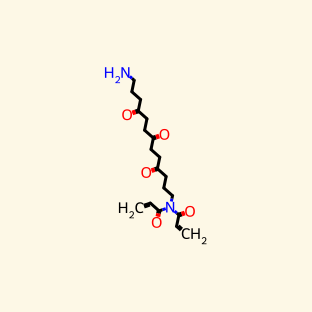 C=CC(=O)N(CCCC(=O)CCC(=O)CCC(=O)CCCN)C(=O)C=C